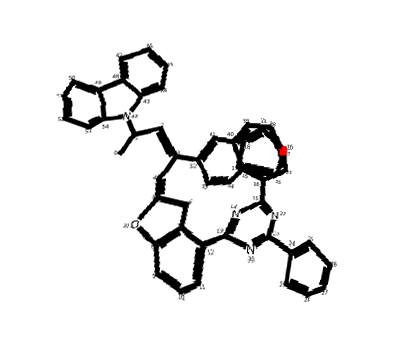 CC(/C=C(\C=C1/Cc2c(cccc2-c2nc(-c3ccccc3)nc(-c3ccccc3)n2)O1)c1ccc2ccccc2c1)n1c2ccccc2c2ccccc21